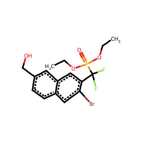 CCOP(=O)(OCC)C(F)(F)c1cc2cc(CO)ccc2cc1Br